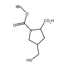 CC(C)(C)OC(=O)N1CC(CO)CC1C(=O)O